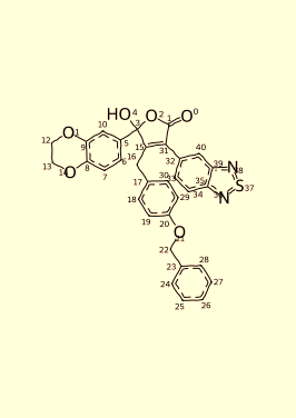 O=C1OC(O)(c2ccc3c(c2)OCCO3)C(Cc2ccc(OCc3ccccc3)cc2)=C1c1ccc2nsnc2c1